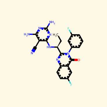 CC[C@H](Nc1nc(N)nc(N)c1C#N)c1nc2ccc(F)cc2c(=O)n1-c1cccc(F)c1